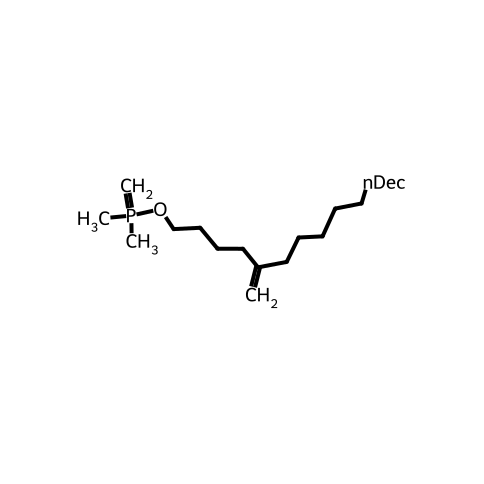 C=C(CCCCCCCCCCCCCCC)CCCCOP(=C)(C)C